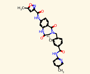 Cc1ccc(NC(=O)c2ccc(CN3C(=O)c4ccc(NC(=O)c5cc(C)on5)cc4NC(=O)[C@H]3C)cc2)nc1